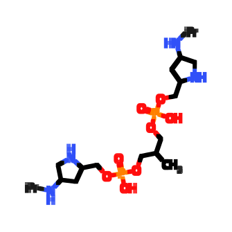 CC(COP(=O)(O)OCC1CC(NC(C)C)CN1)COP(=O)(O)OCC1CC(NC(C)C)CN1